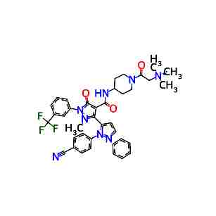 Cn1c(-c2ccnn2-c2ccc(C#N)cc2)c(C(=O)NC2CCN(C(=O)C[N+](C)(C)C)CC2)c(=O)n1-c1cccc(C(F)(F)F)c1.c1ccccc1